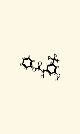 COc1cc(NC(=O)Oc2ccccc2)cc(C(F)(F)F)c1